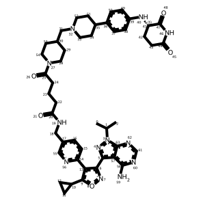 CC(C)n1nc(-c2noc(C3CC3)c2-c2ccc(CNC(=O)CCCC(=O)N3CCC(CN4CCC(c5ccc(N[C@H]6CCC(=O)NC6=O)cc5)CC4)CC3)cn2)c2c(N)ncnc21